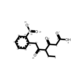 CCC(C(=O)CC(=O)O)C(=O)Cc1ccccc1[N+](=O)[O-]